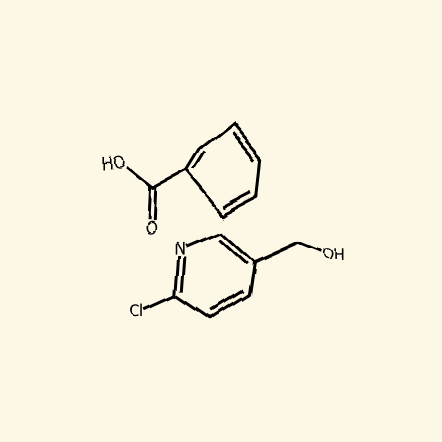 O=C(O)c1ccccc1.OCc1ccc(Cl)nc1